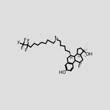 CN(CCCCCCCC(F)(F)C(F)(F)F)CCCCC[C@@H]1Cc2cc(O)ccc2C2C1C1CC[C@@](C)(O)[C@@]1(C)C[C@@H]2F